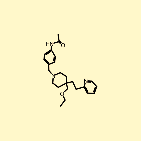 CCOCC1(CCc2ccccn2)CCN(Cc2ccc(NC(C)=O)cc2)CC1